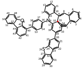 C1#Cc2ccccc2C=C(c2ccccc2N(C2=CC(c3ccc4c(c3)sc3ccccc34)=CCC2)c2ccc(-c3cccc4c3oc3ccccc34)cc2)C1